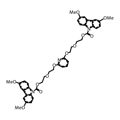 COc1ccc2c(c1)c1cc(OC)ccc1n2C(=O)OCCOCCOc1cccc(OCCOCCOC(=O)n2c3ccc(OC)cc3c3cc(OC)ccc32)n1